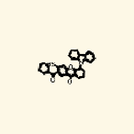 O=C(c1ccccc1)c1cc2c(=O)c3cccc(-n4c5ccccc5c5ccccc54)c3oc2cc1S